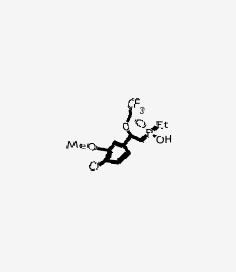 CCP(=O)(O)CC(OCC(F)(F)F)c1ccc(Cl)c(OC)c1